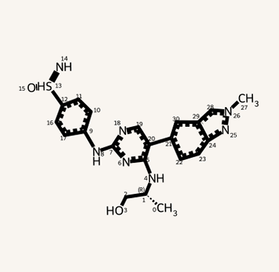 C[C@H](CO)Nc1nc(Nc2ccc([SH](=N)=O)cc2)ncc1-c1ccc2nn(C)cc2c1